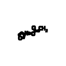 C1CCOC1.C=CC(=O)OC#N